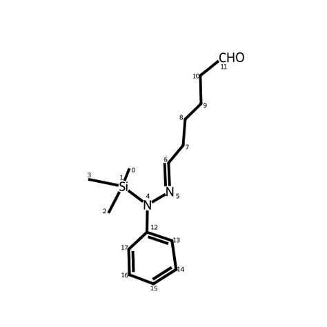 C[Si](C)(C)N(N=CCCCCC=O)c1ccccc1